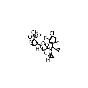 CS(=O)(=O)c1cc(C(=O)N[C@H](C[C@@H]2C3C[C@@H]32)C(=O)N[C@@H](c2cc(F)c(Cl)cc2F)C2CC2)ccn1